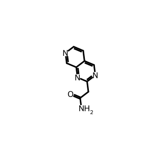 NC(=O)Cc1ncc2ccncc2n1